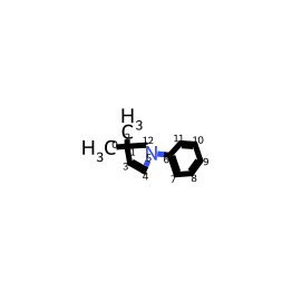 CC1(C)C=CN(c2ccccc2)C1